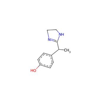 CC(C1=NCCN1)c1ccc(O)cc1